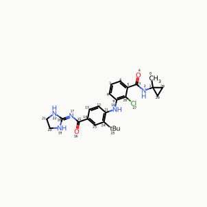 CC1(NC(=O)c2cccc(Nc3ccc(C(=O)N=C4NCCN4)cc3C(C)(C)C)c2Cl)CC1